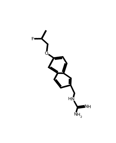 CC(F)COc1ccc2cc(CNC(=N)N)ccc2c1